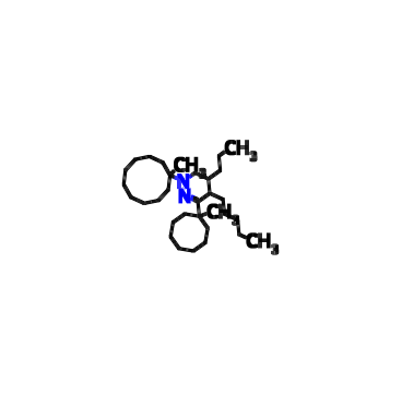 CCCCCC1C(C2(C)CCCCCCC2)=NN(C2(C)CCCCCCCCC2)CC1CCC